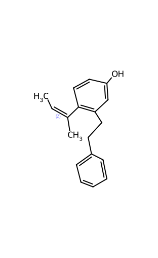 C/C=C(/C)c1ccc(O)cc1CCc1ccccc1